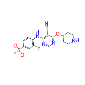 CS(=O)(=O)c1ccc(Nc2ncnc(OC3CCNCC3)c2C#N)c(F)c1